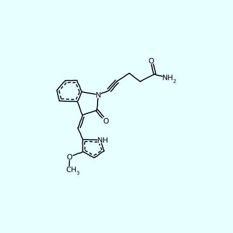 COc1cc[nH]c1C=C1C(=O)N(C#CCCC(N)=O)c2ccccc21